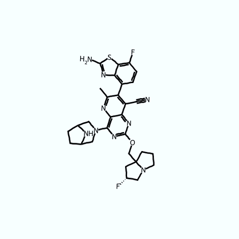 Cc1nc2c(N3CC4CCC(C3)N4)nc(OCC34CCCN3C[C@H](F)C4)nc2c(C#N)c1-c1ccc(F)c2sc(N)nc12